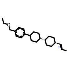 C/C=C/[C@H]1CC[C@H](C2CCC(c3ccc(COCC)cc3)CC2)CC1